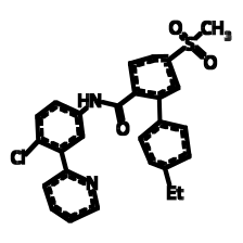 CCc1ccc(-c2cc(S(C)(=O)=O)ccc2C(=O)Nc2ccc(Cl)c(-c3ccccn3)c2)cc1